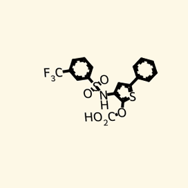 O=C(O)Oc1sc(-c2ccccc2)cc1NS(=O)(=O)c1cccc(C(F)(F)F)c1